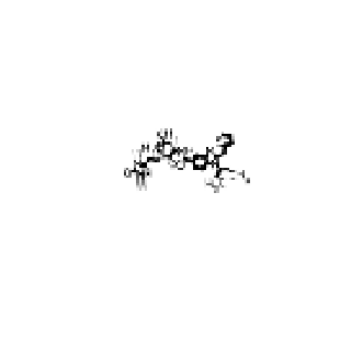 CCC(CC)n1c(Cc2cccs2)nc2cc(C(=O)N[C@@H](CC(C)C)C(=O)NCCc3n[nH]c(=O)[nH]3)ccc21